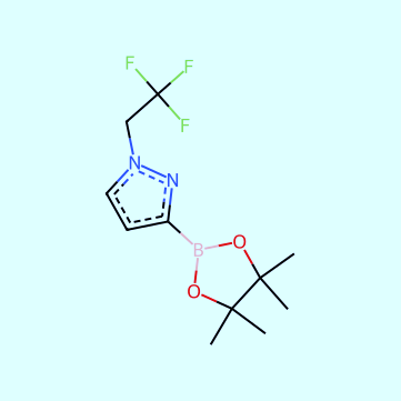 CC1(C)OB(c2ccn(CC(F)(F)F)n2)OC1(C)C